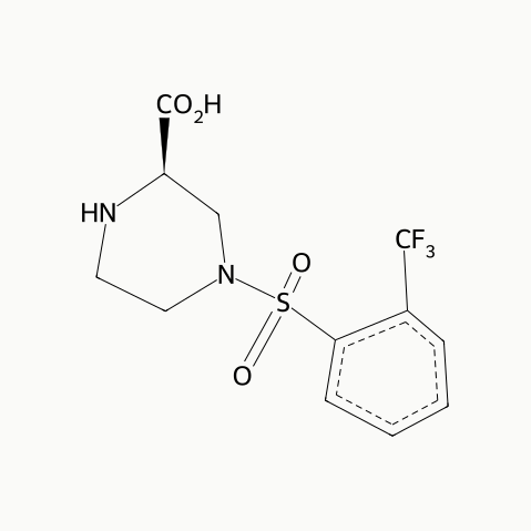 O=C(O)[C@H]1CN(S(=O)(=O)c2ccccc2C(F)(F)F)CCN1